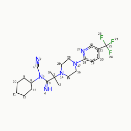 CC(C)(C(=N)N(C#N)C1CCCCC1)N1CCN(c2ccc(C(F)(F)F)cn2)CC1